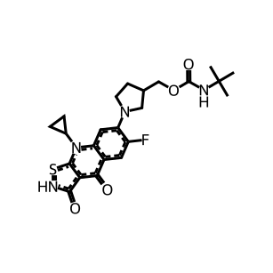 CC(C)(C)NC(=O)OCC1CCN(c2cc3c(cc2F)c(=O)c2c(=O)[nH]sc2n3C2CC2)C1